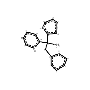 NC(Cc1ccccn1)(c1ccccn1)c1ccccn1